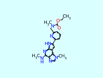 CCOC(=O)N(C)Cc1cccc(-c2cc3c(nc(NC)c4ncn(C)c43)[nH]2)n1